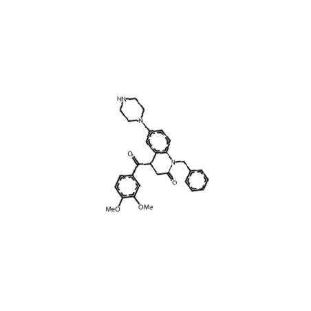 COc1ccc(C(=O)C2CC(=O)N(Cc3ccccc3)c3ccc(N4CCNCC4)cc32)cc1OC